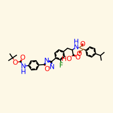 CC(C)c1ccc(S(=O)(=O)NC(Cc2ccc(-c3noc(-c4ccc(NC(=O)OC(C)(C)C)cc4)n3)c(F)c2)C(=O)O)cc1